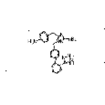 CCCCc1nc(Cc2ccc(N)cc2)n(Cc2ccc(-c3ccccc3-c3nnn[nH]3)cc2)n1